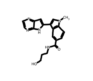 Cn1cc(-c2cc3nccnc3[nH]2)c2cc(C(=O)NCCCO)ccc21